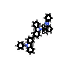 CC(C)(c1ccccc1Nc1ccccc1)n1c2ccccc2c2cc(-c3ccc4c(c3)c3ccccc3n4-c3ccccc3)ccc21